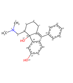 CN(C)CC1CCCC(=Cc2ccccc2)C1(O)c1cccc(O)c1